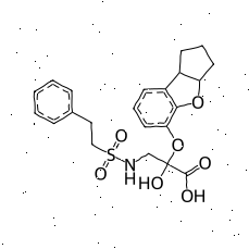 O=C(O)C(O)(CNS(=O)(=O)CCc1ccccc1)Oc1cccc2c1OC1CCCC21